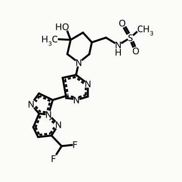 CC1(O)CC(CNS(C)(=O)=O)CN(c2cc(-c3cnc4ccc(C(F)F)nn34)ncn2)C1